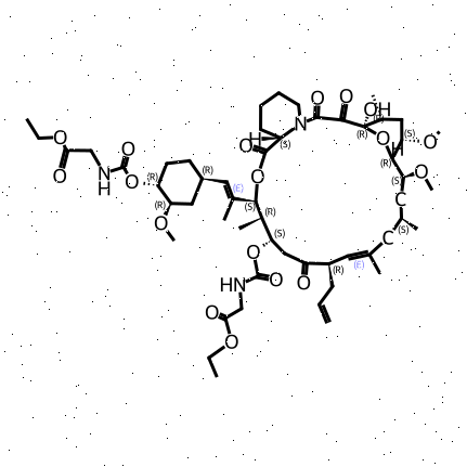 C=CC[C@@H]1/C=C(\C)C[C@H](C)C[C@H](OC)[C@H]2O[C@@](O)(C(=O)C(=O)N3CCCC[C@H]3C(=O)O[C@H](/C(C)=C/[C@@H]3CC[C@@H](OC(=O)NCC(=O)OCC)[C@H](OC)C3)[C@H](C)[C@@H](OC(=O)NCC(=O)OCC)CC1=O)[C@H](C)C[C@@H]2OC